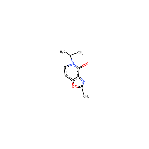 Cc1nc2c(=O)n(C(C)C)ccc2o1